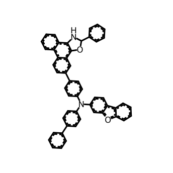 c1ccc(-c2ccc(N(c3ccc(-c4ccc5c(c4)c4c(c6ccccc65)NC(c5ccccc5)O4)cc3)c3ccc4c(c3)oc3ccccc34)cc2)cc1